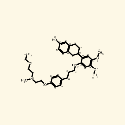 CCOCCN(C)CCOc1ccc(CCCNc2cc(OC)c(OC)cc2C2CCc3cc(O)ccc3C2)cc1